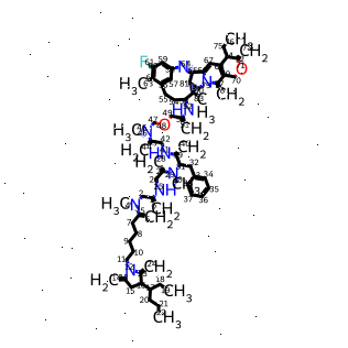 C=C(CN(C)C(=C)CCCCCN1C(=C)CC(C(CC)CCC)C1=C)NCC(=C)N(C)C(Cc1ccccc1)C(=C)NCC(=C)N(C)COCC(=C)NC1CCc2cc(cc(F)c2C)/N=C2/C3=CC4=C(COC(=C)C4CC)C(=C)N3C/C2=C\1C